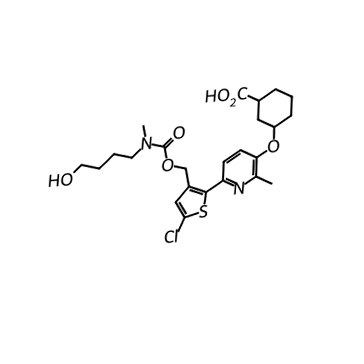 Cc1nc(-c2sc(Cl)cc2COC(=O)N(C)CCCCO)ccc1OC1CCCC(C(=O)O)C1